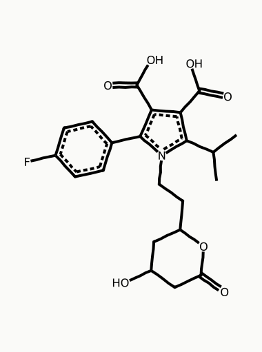 CC(C)c1c(C(=O)O)c(C(=O)O)c(-c2ccc(F)cc2)n1CCC1CC(O)CC(=O)O1